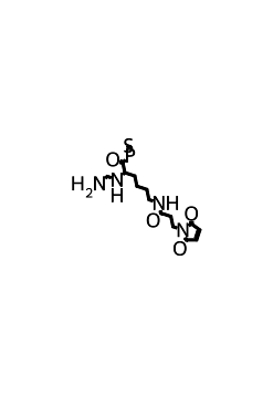 NCNC(CCCCNC(=O)CCN1C(=O)C=CC1=O)C(=O)P=S